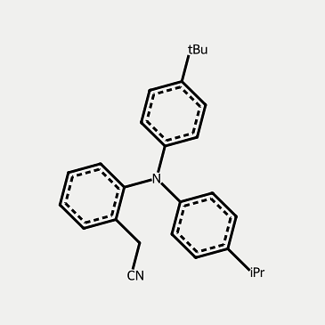 CC(C)c1ccc(N(c2ccc(C(C)(C)C)cc2)c2ccccc2CC#N)cc1